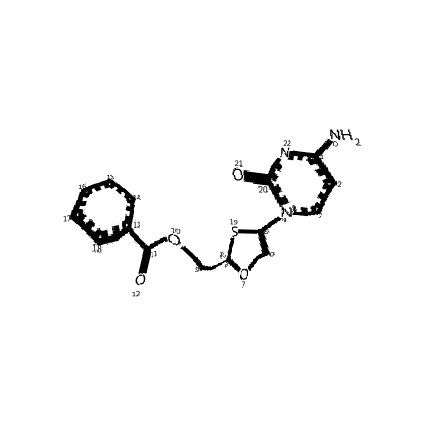 Nc1ccn(C2CO[C@@H](COC(=O)c3ccccc3)S2)c(=O)n1